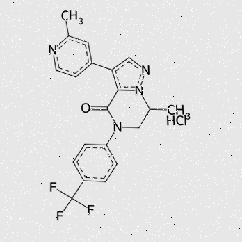 Cc1cc(-c2cnn3c2C(=O)N(c2ccc(C(F)(F)F)cc2)CC3C)ccn1.Cl